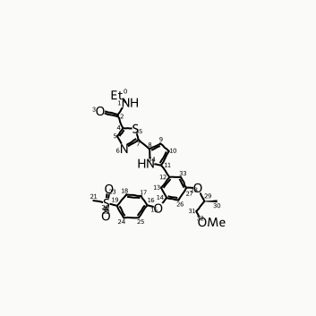 CCNC(=O)c1cnc(-c2ccc(-c3cc(Oc4ccc(S(C)(=O)=O)cc4)cc(O[C@@H](C)COC)c3)[nH]2)s1